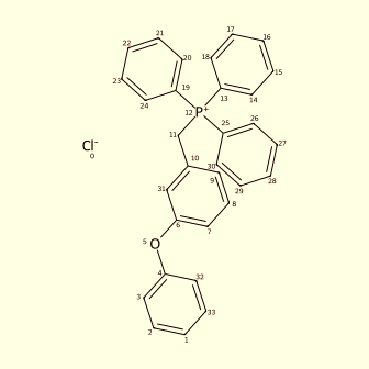 [Cl-].c1ccc(Oc2cccc(C[P+](c3ccccc3)(c3ccccc3)c3ccccc3)c2)cc1